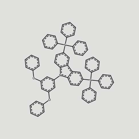 c1ccc(Oc2cc(Oc3ccccc3)cc(-n3c4ccc([Si](c5ccccc5)(c5ccccc5)c5ccccc5)cc4c4cc([Si](c5ccccc5)(c5ccccc5)c5ccccc5)ccc43)c2)cc1